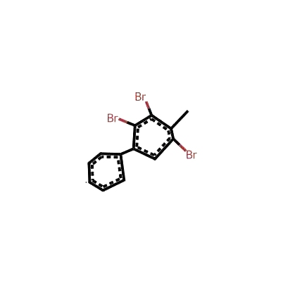 Cc1c(Br)cc(-c2cc[c]cc2)c(Br)c1Br